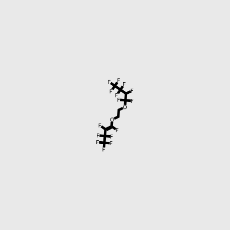 FC(OCCOC(F)(F)C(F)C(F)(F)C(F)(F)F)=C(F)C(F)(F)C(F)(F)F